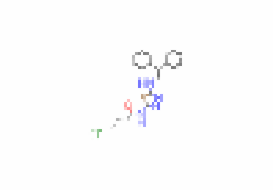 O=C(CCCCCl)Nc1nnc(NCC(c2ccccc2)c2ccccc2)s1